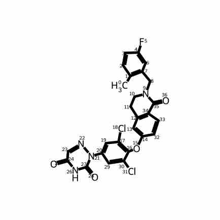 Cc1ccc(F)cc1CN1CCc2cc(Oc3c(Cl)cc(-n4ncc(=O)[nH]c4=O)cc3Cl)ccc2C1=O